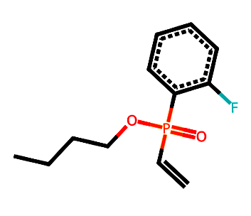 C=CP(=O)(OCCCC)c1ccccc1F